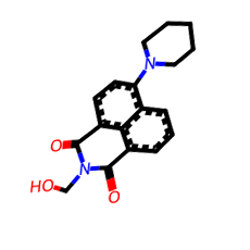 O=C1c2cccc3c(N4CCCCC4)ccc(c23)C(=O)N1CO